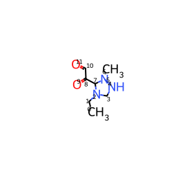 CCN1CNN(C)C1C(=O)C=O